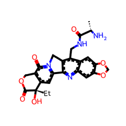 CC[C@@]1(O)C(=O)OCc2c1cc1n(c2=O)Cc2c-1nc1cc3c(cc1c2CNC(=O)[C@H](C)N)OCO3